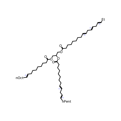 CC/C=C/C/C=C/C/C=C/CCCCCCCC(=O)OCC(COC(=O)CCCCCCC/C=C/CCCCCCCC)OC(=O)CCCCCCC/C=C/C/C=C/CCCCC